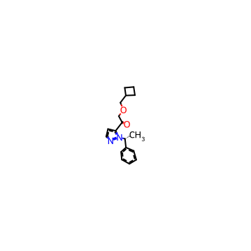 C[C@H](c1ccccc1)n1nccc1C(=O)COCC1CCC1